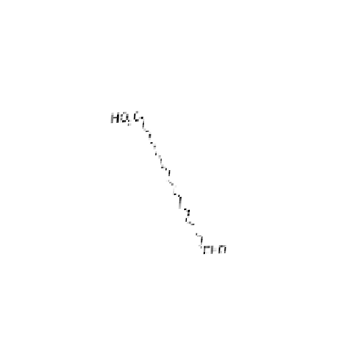 O=CCCCCCCCCCCCCCCCCCCCCC(=O)O